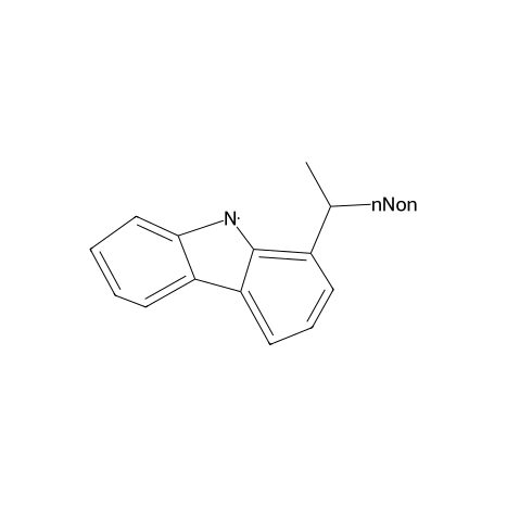 CCCCCCCCCC(C)c1cccc2c1[N]c1ccccc1-2